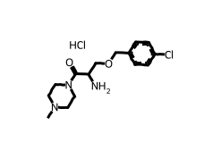 CN1CCN(C(=O)C(N)COCc2ccc(Cl)cc2)CC1.Cl